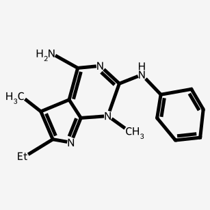 CCc1nc2n(C)c(Nc3ccccc3)nc(N)c-2c1C